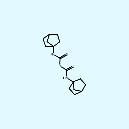 S=C(NC12CCC(CC1)C2)OC(=S)NC12CCC(CC1)C2